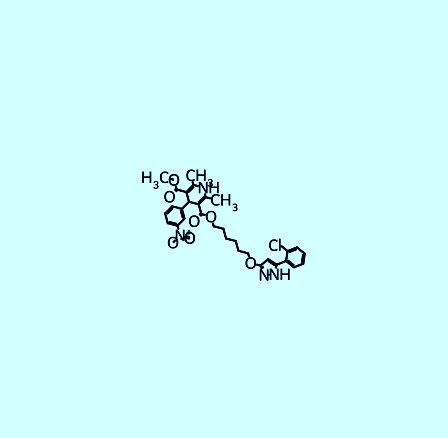 COC(=O)C1=C(C)NC(C)=C(C(=O)OCCCCCCOc2cc(-c3ccccc3Cl)[nH]n2)C1c1cccc([N+](=O)[O-])c1